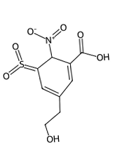 O=C(O)C1=CC(CCO)=CC(=S(=O)=O)C1[N+](=O)[O-]